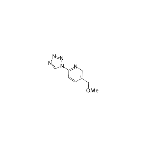 COCc1ccc(-n2cnnn2)nc1